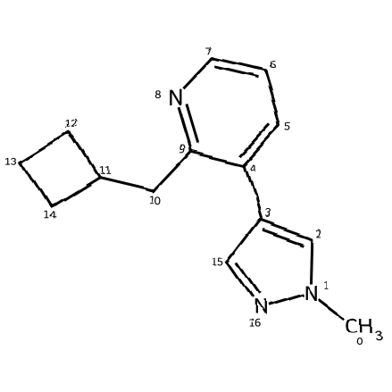 Cn1cc(-c2cccnc2CC2CCC2)cn1